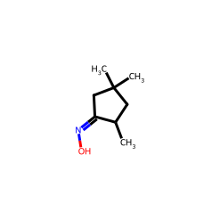 CC1CC(C)(C)C/C1=N/O